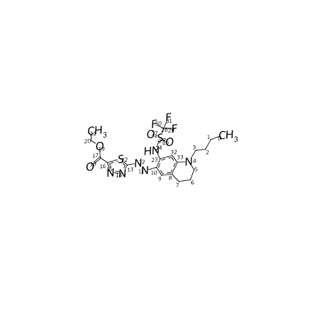 CCCCN1CCCc2cc(N=Nc3nnc(C(=O)OCC)s3)c(NS(=O)(=O)C(F)(F)F)cc21